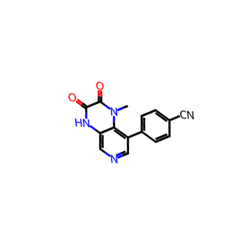 Cn1c(=O)c(=O)[nH]c2cncc(-c3ccc(C#N)cc3)c21